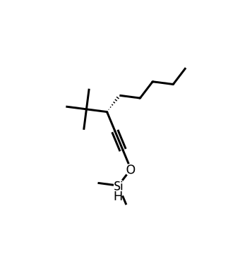 CCCCC[C@H](C#CO[SiH](C)C)C(C)(C)C